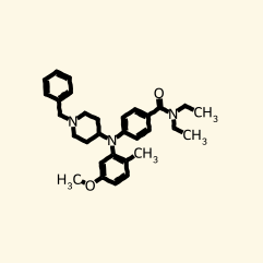 CCN(CC)C(=O)c1ccc(N(c2cc(OC)ccc2C)C2CCN(Cc3ccccc3)CC2)cc1